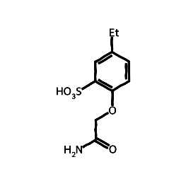 CCc1ccc(OCC(N)=O)c(S(=O)(=O)O)c1